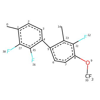 Cc1ccc(-c2ccc(OC(F)(F)F)c(F)c2C)c(F)c1F